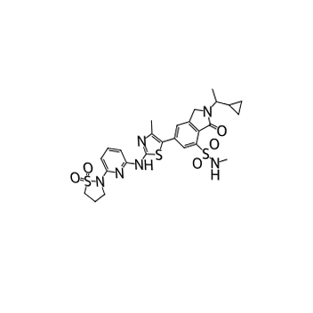 CNS(=O)(=O)c1cc(-c2sc(Nc3cccc(N4CCCS4(=O)=O)n3)nc2C)cc2c1C(=O)N(C(C)C1CC1)C2